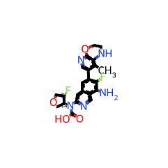 Cc1c(-c2cc3cc(N(C(=O)O)[C@H]4COC[C@H]4F)ncc3c(N)c2F)cnc2c1NCCO2